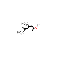 CCOC(C)C=C(C=C(C)C(=O)O)C(=O)O